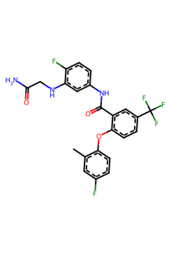 Cc1cc(F)ccc1Oc1ccc(C(F)(F)F)cc1C(=O)Nc1ccc(F)c(NCC(N)=O)c1